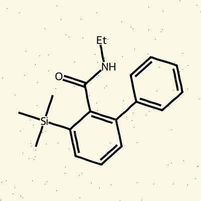 CCNC(=O)c1c(-c2ccccc2)cccc1[Si](C)(C)C